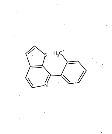 Cc1ccccc1-c1nccc2ccsc12